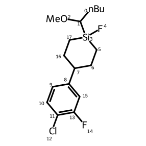 CCCCC(OC)[Si]1(F)CCC(c2ccc(Cl)c(F)c2)CC1